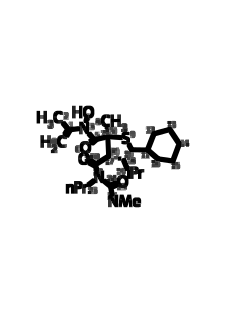 C=C(C)N(O)C(=O)[C@@](C)(SCC1CCCCC1)[C@H](CC(C)C)C(=O)N(CCC)C(=O)NC